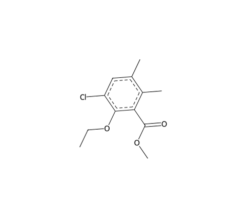 CCOc1c(Cl)cc(C)c(C)c1C(=O)OC